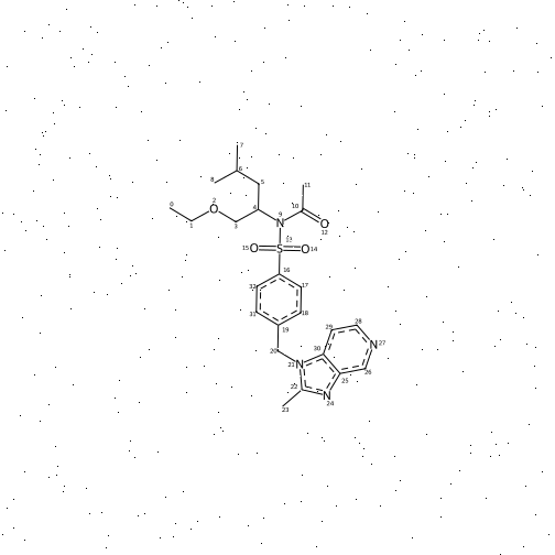 CCOCC(CC(C)C)N(C(C)=O)S(=O)(=O)c1ccc(Cn2c(C)nc3cnccc32)cc1